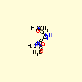 COc1ccc(NC(=O)c2cc(-c3cnc4[nH]cc(-c5ccc(C(=O)N(C)C)cc5)c4c3)ccc2N2CCN(C)CC2)cc1